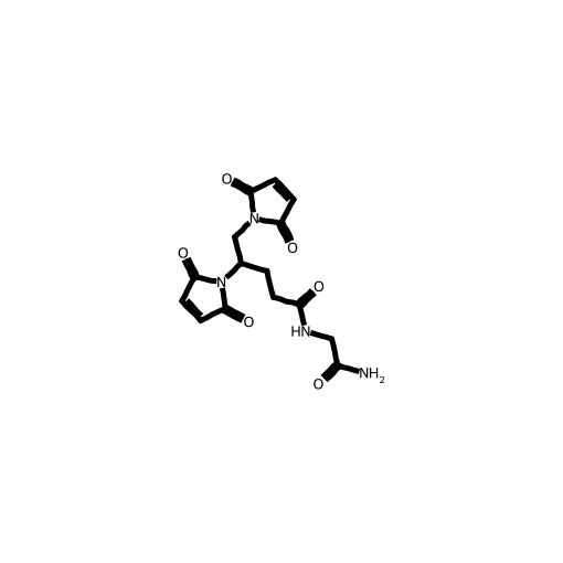 NC(=O)CNC(=O)CCC(CN1C(=O)C=CC1=O)N1C(=O)C=CC1=O